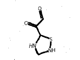 O=CC(=O)C1NCNS1